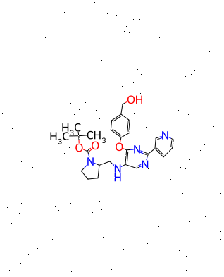 CC(C)(C)OC(=O)N1CCCC1CNc1cnc(-c2cccnc2)nc1Oc1ccc(CO)cc1